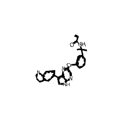 C=CC(=O)NC(C)(C)c1cccc(Oc2cnc3[nH]cc(-c4ccc5ncccc5c4)c3n2)c1